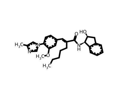 CCCCC/C(=C\c1ccc(-n2cnc(C)c2)c(OC)c1)C(=O)N[C@@H]1c2ccccc2C[C@@H]1O